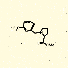 COC(=O)C1CCCN1Cc1cccc(C(F)(F)F)c1